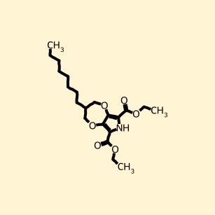 CCCCCCCCC1COc2c(C(=O)OCC)[nH]c(C(=O)OCC)c2OC1